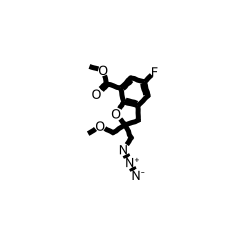 COCC1(CN=[N+]=[N-])Cc2cc(F)cc(C(=O)OC)c2O1